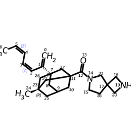 C=C(/C=C\C=C/C)[C@]12CC3CC(C(=O)N4CCC5(CNC5)C4)(C[C@](C)(C3)C1)C2